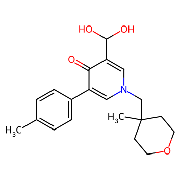 Cc1ccc(-c2cn(CC3(C)CCOCC3)cc(C(O)O)c2=O)cc1